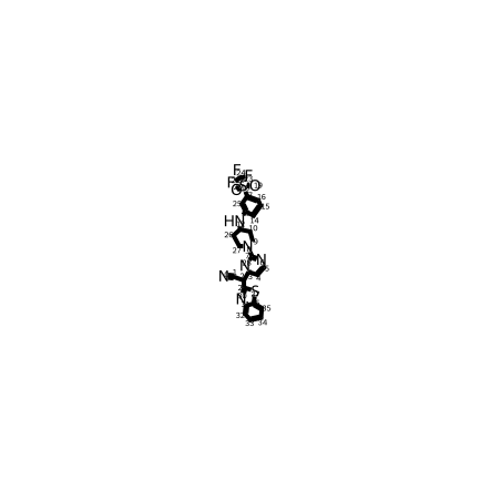 N#CC(c1ccnc(N2CCC(Nc3cccc(S(=O)(=O)C(F)(F)F)c3)CC2)n1)c1nc2ccccc2s1